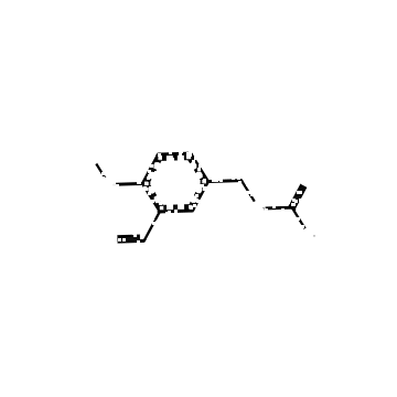 COc1ccc(COC(=O)O)cc1C=O